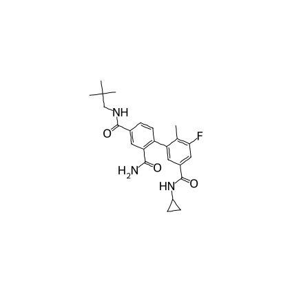 Cc1c(F)cc(C(=O)NC2CC2)cc1-c1ccc(C(=O)NCC(C)(C)C)cc1C(N)=O